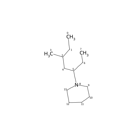 CCC(C)CC(CC)N1CCCCC1